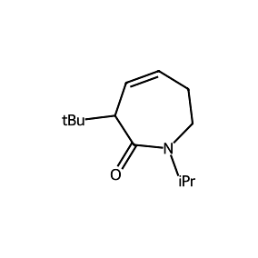 CC(C)N1CCC=CC(C(C)(C)C)C1=O